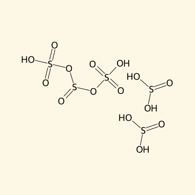 O=S(O)O.O=S(O)O.O=S(OS(=O)(=O)O)OS(=O)(=O)O